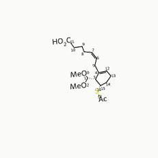 COC(OC)[C@@H]1C(C/C=C\CCCC(=O)O)=CCC[C@@H]1SC(C)=O